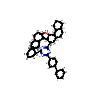 c1ccc(-c2ccc(-c3nc(-c4ccccc4)nc(-c4cc5ccc6ccccc6c5c5oc6ccc7ccccc7c6c45)n3)cc2)cc1